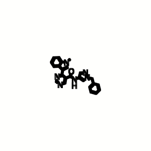 Cn1cc(-c2ncncc2C(=O)Nc2cnn(Cc3ccccc3)c2)c2ccccc21